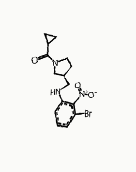 O=C(C1CC1)N1CC[C@@H](CNc2cccc(Br)c2[N+](=O)[O-])C1